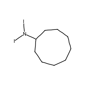 IN(I)C1CCCCCCCC1